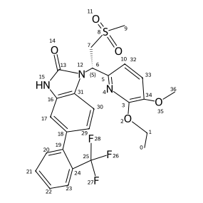 CCOc1nc([C@@H](CS(C)(=O)=O)n2c(=O)[nH]c3cc(-c4ccccc4C(F)(F)F)ccc32)ccc1OC